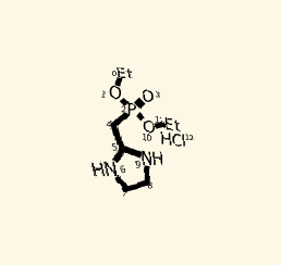 CCOP(=O)(CC1NCCN1)OCC.Cl